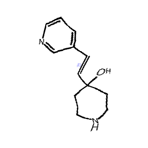 OC1(/C=C/c2cccnc2)CCNCC1